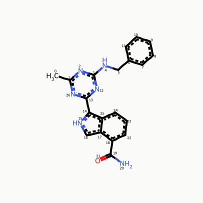 Cc1nc(NCc2ccccc2)nc(-c2[nH]cc3c(C(N)=O)cccc23)n1